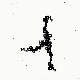 C=CC(=O)OCCCCCCOC1CCC(C(=O)Oc2ccc3c(c2)nc(Nc2ccc(OCCOCCOC(=O)C=C)cc2)c2cc(OC(=O)C4CCC(OCCCCCCOC(=O)C=C)CC4)ccc23)CC1